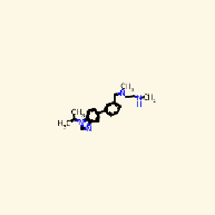 CNCCN(C)Cc1cccc(-c2ccc3c(c2)ncn3C(C)C)c1